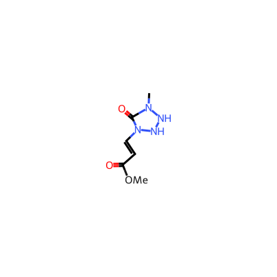 COC(=O)/C=C/N1NNN(C)C1=O